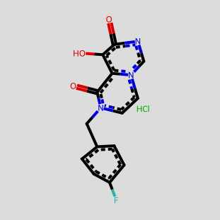 Cl.O=c1ncn2ccn(Cc3ccc(F)cc3)c(=O)c2c1O